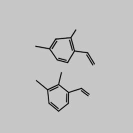 C=Cc1ccc(C)cc1C.C=Cc1cccc(C)c1C